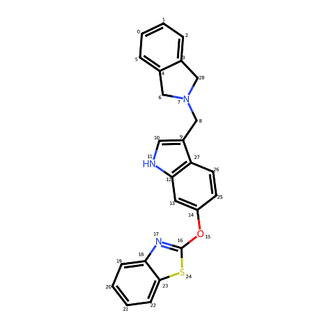 c1ccc2c(c1)CN(Cc1c[nH]c3cc(Oc4nc5ccccc5s4)ccc13)C2